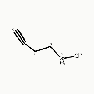 C#CCCNCl